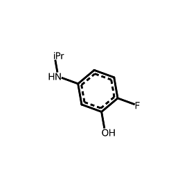 CC(C)Nc1ccc(F)c(O)c1